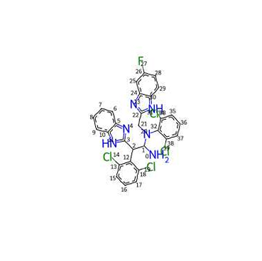 NC(C(c1nc2ccccc2[nH]1)c1c(Cl)cccc1Cl)N(Cc1nc2cc(F)ccc2[nH]1)c1c(Cl)cccc1Cl